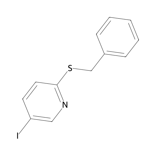 Ic1ccc(SCc2ccccc2)nc1